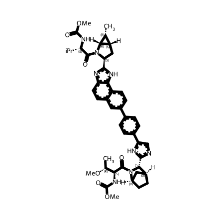 COC(=O)N[C@H](C(=O)N1[C@@H]2[C@H](C)[C@@H]2C[C@H]1c1nc2ccc3cc(-c4ccc(-c5cnc([C@@H]6[C@H]7CC[C@H](C7)N6C(=O)[C@@H](NC(=O)OC)[C@@H](C)OC)[nH]5)cc4)ccc3c2[nH]1)C(C)C